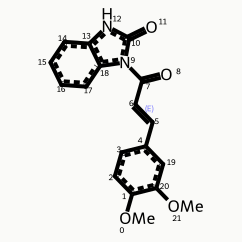 COc1ccc(/C=C/C(=O)n2c(=O)[nH]c3ccccc32)cc1OC